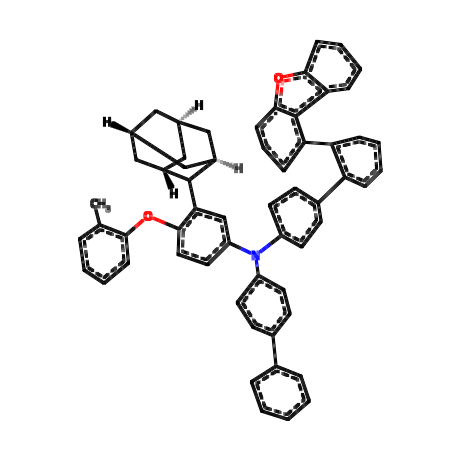 Cc1ccccc1Oc1ccc(N(c2ccc(-c3ccccc3)cc2)c2ccc(-c3ccccc3-c3cccc4oc5ccccc5c34)cc2)cc1C1[C@H]2C[C@H]3C[C@H](C[C@H]1C3)C2